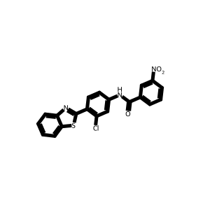 O=C(Nc1ccc(-c2nc3ccccc3s2)c(Cl)c1)c1cccc([N+](=O)[O-])c1